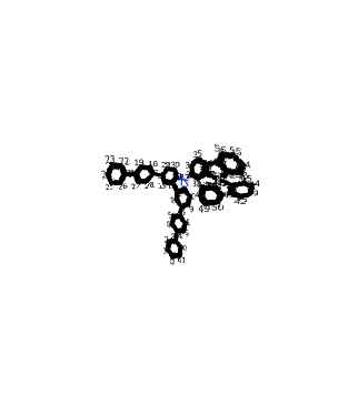 c1ccc(-c2ccc(-c3ccc4c(c3)c3cc(-c5ccc(-c6ccccc6)cc5)ccc3n4-c3ccc4c(c3)[Si](c3ccccc3)(c3ccccc3)c3ccccc3-4)cc2)cc1